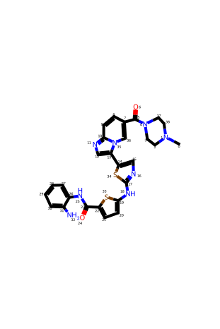 CN1CCN(C(=O)c2ccc3ncc(-c4cnc(Nc5ccc(C(=O)Nc6ccccc6N)s5)s4)n3c2)CC1